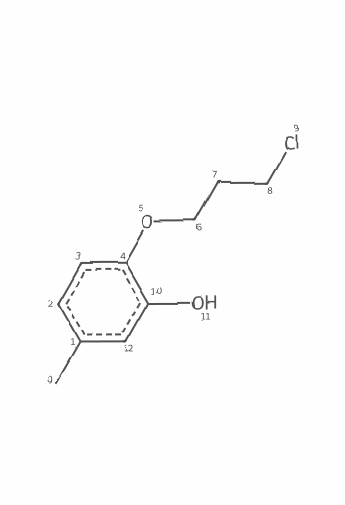 Cc1ccc(OCCCCl)c(O)c1